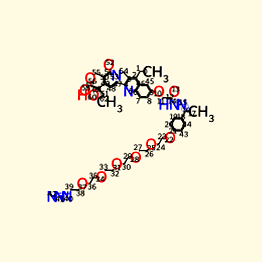 CCc1c2c(nc3ccc(OCC(=O)N/N=C(/C)c4ccc(OCCOCCOCCOCCOCCOCCN=[N+]=[N-])cc4)cc13)-c1cc3c(c(=O)n1C2)COC(=O)[C@]3(O)CC